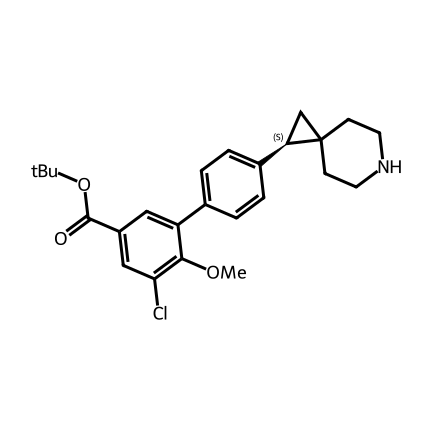 COc1c(Cl)cc(C(=O)OC(C)(C)C)cc1-c1ccc([C@H]2CC23CCNCC3)cc1